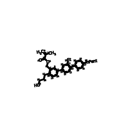 C=C(C)C(=O)OCc1cc(-c2ccc(-c3ccc(CCCCC)cc3)c(CC)c2)ccc1CCCO